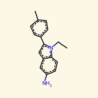 CCn1c(-c2ccc(C)cc2)cc2cc(N)ccc21